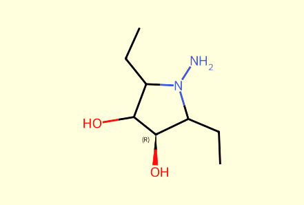 CCC1C(O)[C@H](O)C(CC)N1N